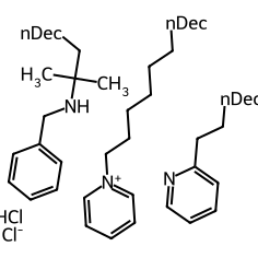 CCCCCCCCCCCC(C)(C)NCc1ccccc1.CCCCCCCCCCCCCCCC[n+]1ccccc1.CCCCCCCCCCCCc1ccccn1.Cl.[Cl-]